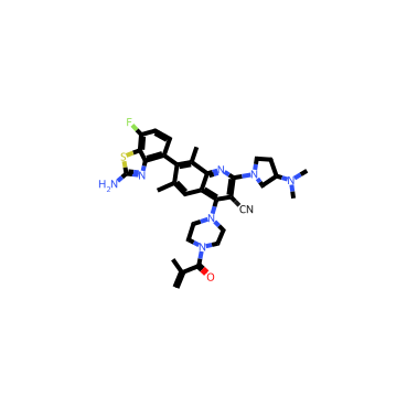 C=C(C)C(=O)N1CCN(c2c(C#N)c(N3CCC(N(C)C)C3)nc3c(C)c(-c4ccc(F)c5sc(N)nc45)c(C)cc23)CC1